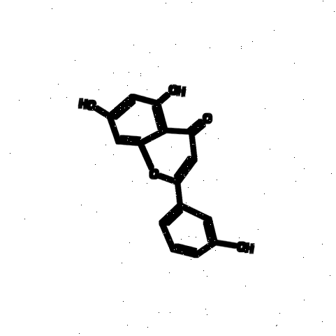 O=c1cc(-c2cccc(O)c2)oc2cc(O)cc(O)c12